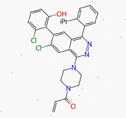 C=CC(=O)N1CCN(c2nnc(-c3ccccc3C(C)C)c3cc(-c4c(O)cccc4Cl)c(Cl)cc23)CC1